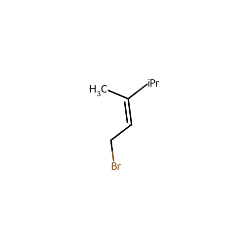 CC(=CCBr)C(C)C